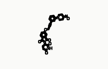 O=NC1CCN(c2cccc(C#CCOc3ccc4c(c3)C(=O)N(C3CCC(=O)NC3=O)C4=O)c2)CC1